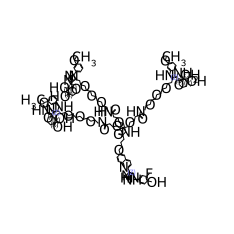 COc1cccc(N/C(CCOCCOCCOCCNC(=O)CCOCC(COCCC(=O)NCCOCCOCCOCC/C(Nc2cccc(OC)c2)=C(/N=N)[C@H]2OCC[C@@H](O)[C@H]2O)(COCCC(=O)NCCOCCOCCOCCc2c([C@H]3OCC[C@@H](O)[C@H]3O)nnn2-c2cccc(OC)c2)NC(=O)CCCOc2ccc3nc(/C(=C/Nc4ccc(O)c(F)c4)N=N)ccc3c2)=C(\N)[C@H]2OCC[C@@H](O)[C@H]2O)c1